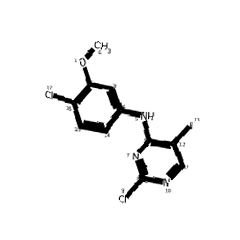 COc1cc(Nc2nc(Cl)ncc2I)ccc1Cl